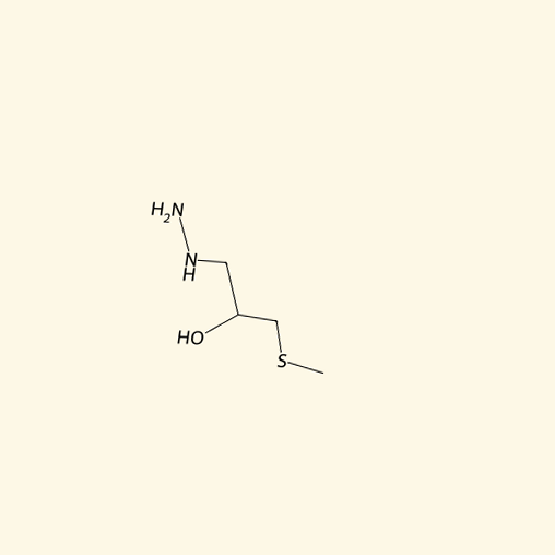 CSCC(O)CNN